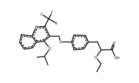 CCOC(Cc1ccc(OCc2c(C(F)(F)F)nc3ccccc3c2OC(C)C)cc1)C(=O)O